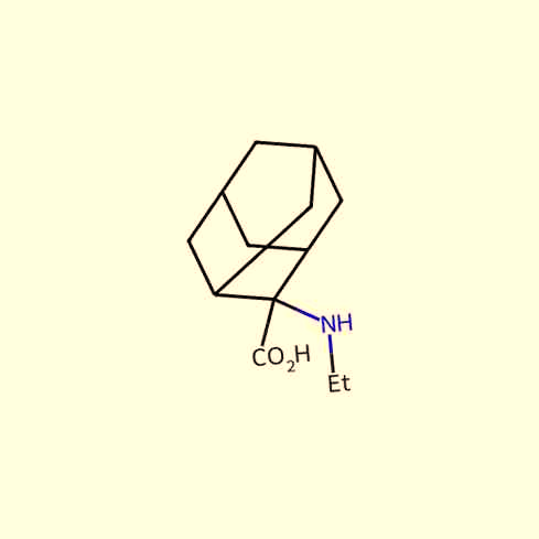 CCNC1(C(=O)O)C2CC3CC(C2)CC1C3